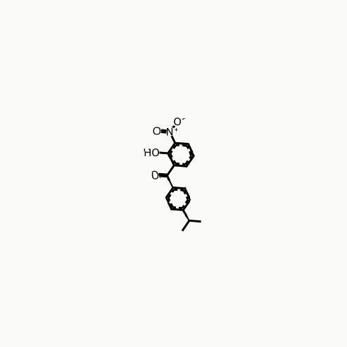 CC(C)c1ccc(C(=O)c2cccc([N+](=O)[O-])c2O)cc1